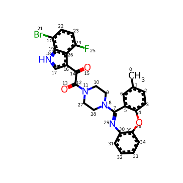 Cc1ccc2c(c1)C(N1CCN(C(=O)C(=O)c3c[nH]c4c(Br)ccc(F)c34)CC1)=Nc1ccccc1O2